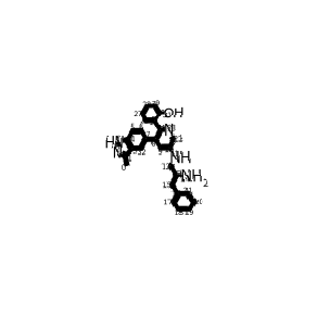 Cc1n[nH]c2ccc(-c3cc(NC[C@@H](N)Cc4ccccc4)cnc3-c3ccccc3O)cc12